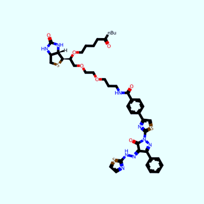 CCCCC(=O)CCCCOC(COCCOCCCNC(=O)c1ccc(-c2csc(N3N=C(c4ccccc4)C(=NNc4nccs4)C3=O)n2)cc1)[C@H]1SCC2NC(=O)N[C@@H]21